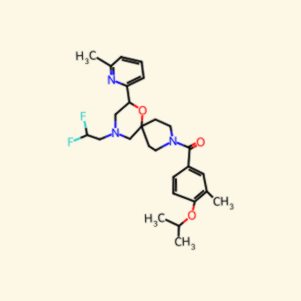 Cc1cccc(C2CN(CC(F)F)CC3(CCN(C(=O)c4ccc(OC(C)C)c(C)c4)CC3)O2)n1